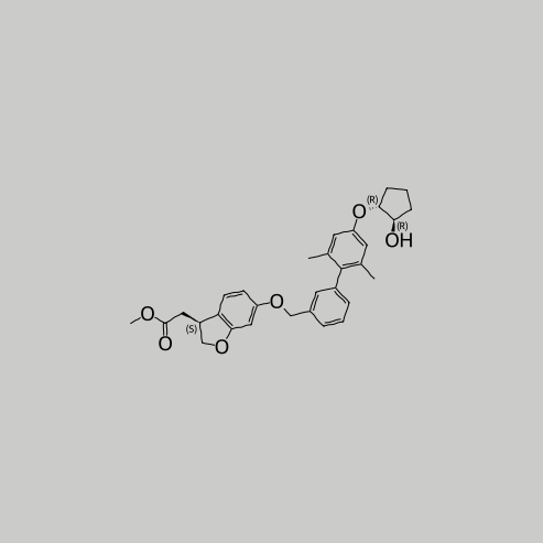 COC(=O)C[C@@H]1COc2cc(OCc3cccc(-c4c(C)cc(O[C@@H]5CCC[C@H]5O)cc4C)c3)ccc21